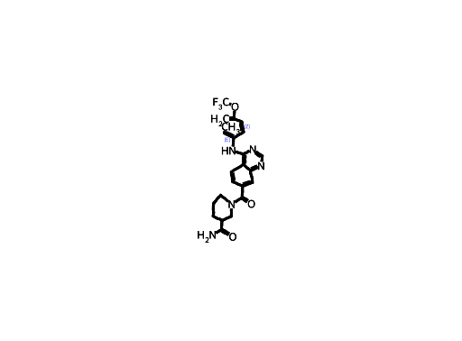 C=C(/C=C\C(=C/C)Nc1ncnc2cc(C(=O)N3CCCC(C(N)=O)C3)ccc12)OC(F)(F)F